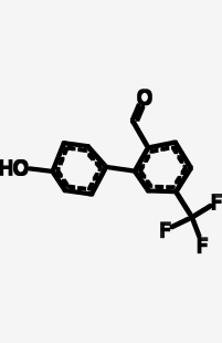 O=Cc1ccc(C(F)(F)F)cc1-c1ccc(O)cc1